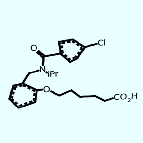 CC(C)N(Cc1ccccc1OCCCCCC(=O)O)C(=O)c1ccc(Cl)cc1